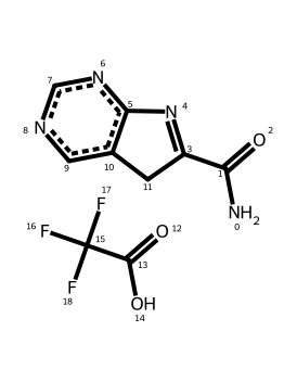 NC(=O)C1=Nc2ncncc2C1.O=C(O)C(F)(F)F